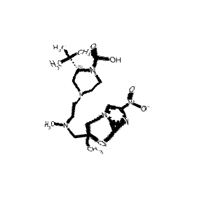 CN(CCN1CCN(C(=O)O)[C@@H](C(C)(C)C)C1)CC1(C)Cn2cc([N+](=O)[O-])nc2O1